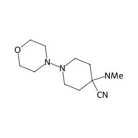 CNC1(C#N)CCN(N2CCOCC2)CC1